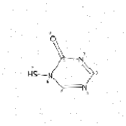 O=c1ncncn1S